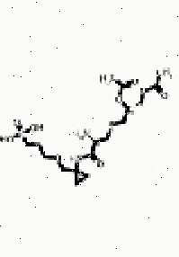 CC(=O)OC[C@H](CSC[C@H](N)C(=O)NC1(COCCCP(=O)(O)O)CC1)OC(C)=O